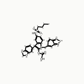 CCCCS(=O)(=O)Nc1ccc2c(c1)c(-c1ccc3c(c1)OCO3)c(OC(=O)O)n2Cc1ccc2nsnc2c1